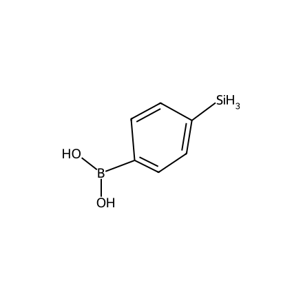 OB(O)c1ccc([SiH3])cc1